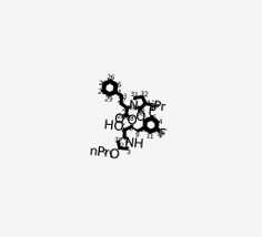 CCCO[C@H]1CN[C@@H]([C@@H](O)[C@H](Cc2cc(F)cc(F)c2)OC(=O)C(CCc2ccccc2)N2CCC(C(C)C)C2=O)C1